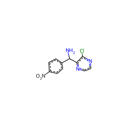 NC(c1ccc([N+](=O)[O-])cc1)c1nccnc1Cl